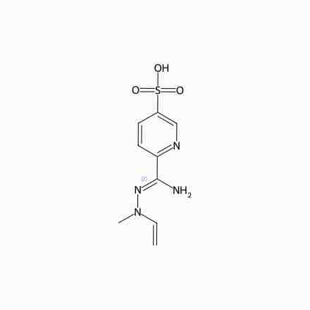 C=CN(C)/N=C(\N)c1ccc(S(=O)(=O)O)cn1